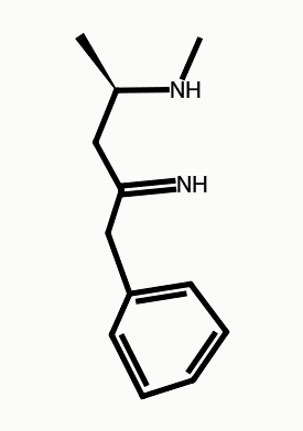 CN[C@H](C)CC(=N)Cc1ccccc1